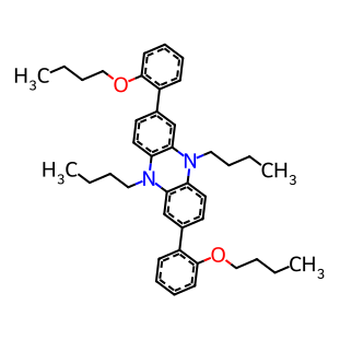 CCCCOc1ccccc1-c1ccc2c(c1)N(CCCC)c1ccc(-c3ccccc3OCCCC)cc1N2CCCC